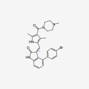 Cc1[nH]c(/C=C2\C(=O)Nc3cccc(-c4ccc(Br)cc4)c32)c(C)c1C(=O)N1CCN(C)CC1